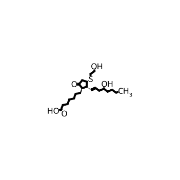 CCCC[C@H](O)CC=C[C@H]1[C@@H](SCCO)CC(=O)[C@@H]1CCCCCCC(=O)O